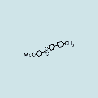 COC1CCC(C(=O)OC2CCC(C3CCC(C)CC3)CC2)CC1